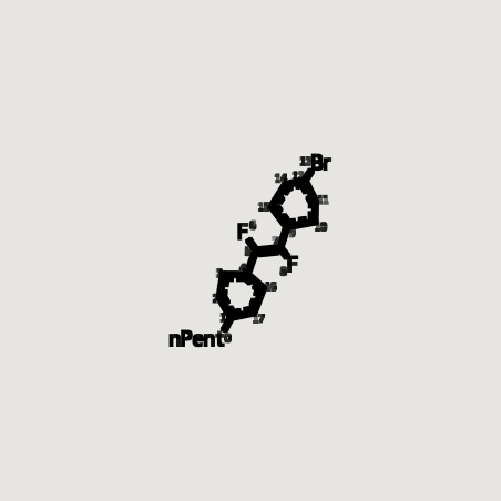 CCCCCc1ccc(C(F)=C(F)c2ccc(Br)cc2)cc1